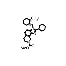 COC(=O)N1CCc2ccc3c(nc(C4CCCCC4)n3C[C@H]3CCCC[C@H]3C(=O)O)c2C1